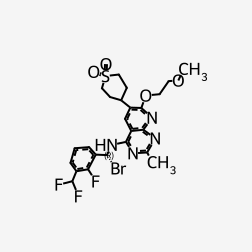 COCCOc1nc2nc(C)nc(N[C@H](Br)c3cccc(C(F)F)c3F)c2cc1C1CCS(=O)(=O)CC1